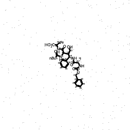 CCCCC(=O)NC(C(=O)NC(C(=O)O)C(C)C)C(CO)[C@H](NC(=O)[C@H](C)NC(=O)OCc1ccccc1)c1ccccc1